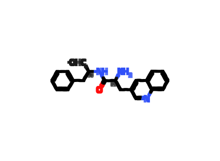 N[C@@H](Cc1cnc2ccccc2c1)C(=O)N[C@H]([C]=O)Cc1ccccc1